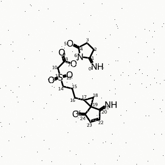 N=C1CCC(=O)N1OC(=O)CS(=O)(=O)CCCC1CC12C(=N)C=CC2=O